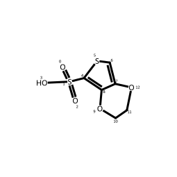 O=S(=O)(O)c1scc2c1OCCO2